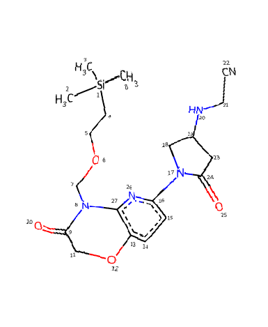 C[Si](C)(C)CCOCN1C(=O)COc2ccc(N3CC(NCC#N)CC3=O)nc21